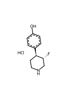 Cl.Oc1ccc([C@@H]2CCNC[C@H]2F)cc1